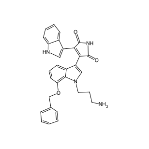 NCCCn1cc(C2=C(c3c[nH]c4ccccc34)C(=O)NC2=O)c2cccc(OCc3ccccc3)c21